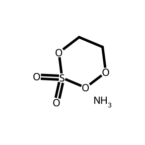 N.O=S1(=O)OCCOO1